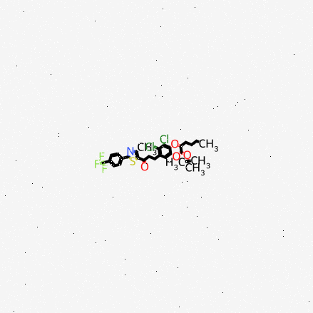 CCCCC(Oc1ccc(CCC(=O)c2sc(-c3ccc(C(F)(F)F)cc3)nc2C)c(Cl)c1Cl)C(=O)OC(C)(C)C